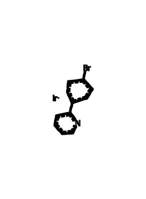 Brc1ccc(-c2ccccn2)cc1.[Ir]